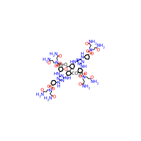 COC(=O)c1cc(Nc2nc(Nc3cccc(S(=O)(=O)N(CCC(N)=O)CCC(N)=O)c3)nc(Nc3cccc(S(=O)(=O)N(CCC(N)=O)CCC(N)=O)c3)n2)ccc1-c1ccc(Nc2nc(Nc3cccc(S(=O)(=O)N(CCC(N)=O)CCC(N)=O)c3)nc(Nc3cccc(S(=O)(=O)N(CCC(N)=O)CCC(N)=O)c3)n2)cc1C(=O)O